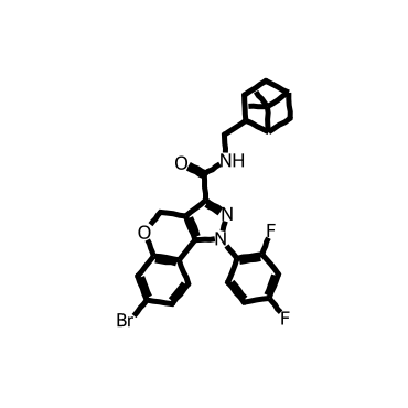 CC1(C)C2CCC(CNC(=O)c3nn(-c4ccc(F)cc4F)c4c3COc3cc(Br)ccc3-4)C1C2